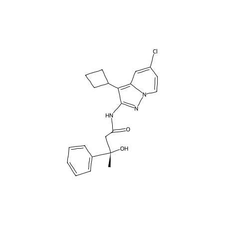 C[C@](O)(CC(=O)Nc1nn2ccc(Cl)cc2c1C1CCC1)c1ccccc1